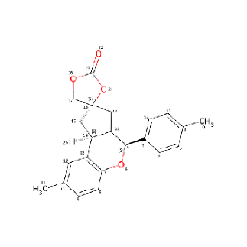 Cc1ccc([C@H]2Oc3ccc(C)cc3[C@H]3C[C@@]4(COC(=O)O4)CC32)cc1